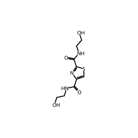 O=C(NCCO)c1csc(C(=O)NCCO)n1